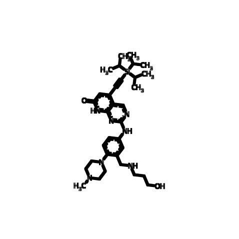 CC(C)[Si](C#Cc1cc(=O)[nH]c2nc(Nc3ccc(N4CCN(C)CC4)c(CNCCCO)c3)ncc12)(C(C)C)C(C)C